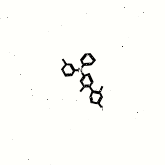 Cc1cc(I)ccc1-c1ccc(N(C2=CC(C)CC=C2)c2ccccc2)cc1C